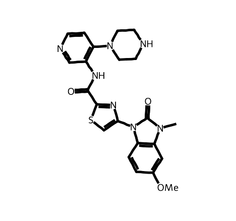 COc1ccc2c(c1)n(C)c(=O)n2-c1csc(C(=O)Nc2cnccc2N2CCNCC2)n1